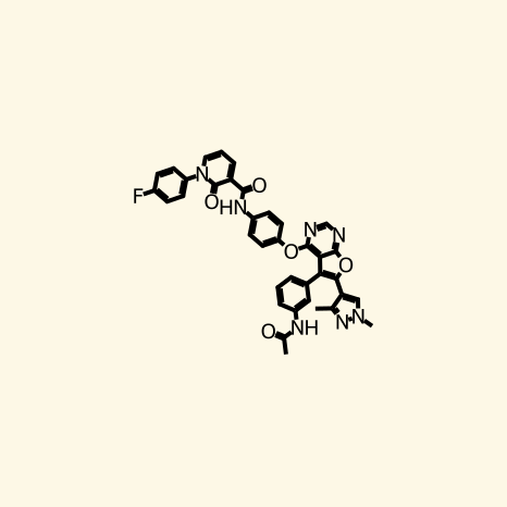 CC(=O)Nc1cccc(-c2c(-c3cn(C)nc3C)oc3ncnc(Oc4ccc(NC(=O)c5cccn(-c6ccc(F)cc6)c5=O)cc4)c23)c1